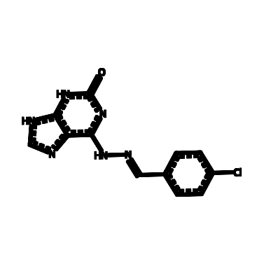 O=c1nc(NN=Cc2ccc(Cl)cc2)c2nc[nH]c2[nH]1